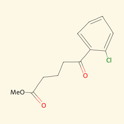 COC(=O)CCCC(=O)c1ccccc1Cl